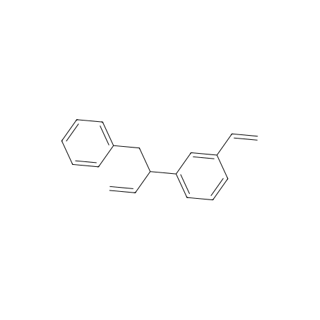 C=Cc1cccc(C(C=C)Cc2ccccc2)c1